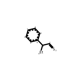 CCC(C=S)c1ccccc1